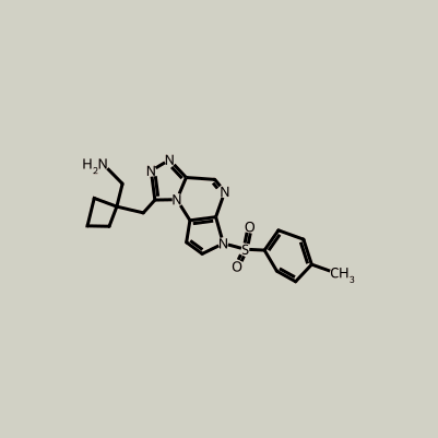 Cc1ccc(S(=O)(=O)n2ccc3c2ncc2nnc(CC4(CN)CCC4)n23)cc1